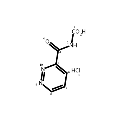 Cl.O=C(O)NC(=O)c1cccnn1